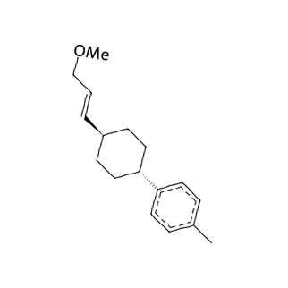 COCC=C[C@H]1CC[C@H](c2ccc(C)cc2)CC1